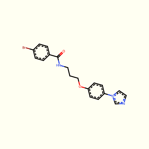 O=C(NCCCOc1ccc(-n2ccnc2)cc1)c1ccc(Br)cc1